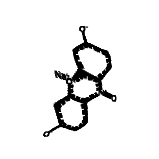 O=[n+]1c2ccc([O-])cc2oc2cc([O-])ccc21.[Na+]